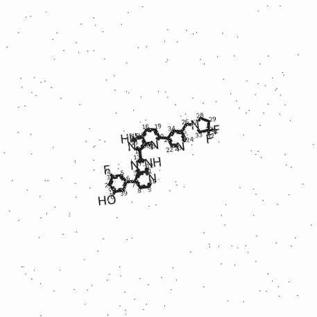 Oc1cc(F)cc(-c2ccnc3[nH]c(-c4n[nH]c5ccc(-c6cncc(CN7CCC(F)(F)C7)c6)nc45)nc23)c1